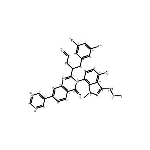 CSNc1nn(C)c2c(-n3c(C(Cc4cc(F)cc(F)c4)NC=O)nc4cc(-c5cncnc5)ccc4c3=O)ccc(Cl)c12